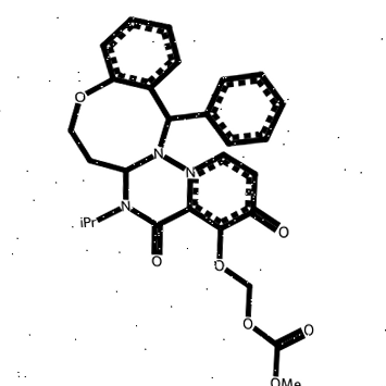 COC(=O)OCOc1c2n(ccc1=O)N1C(c3ccccc3)c3ccccc3OCCC1N(C(C)C)C2=O